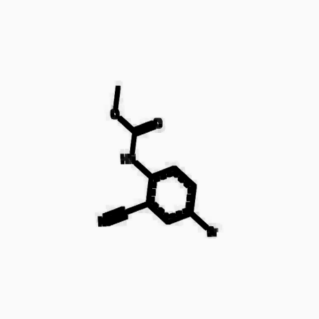 COC(=O)Nc1ccc(Br)cc1C#N